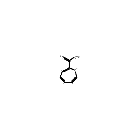 COC(=O)C1=CC=CC=CO1